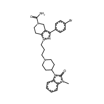 Cn1c(=O)n(C2CCN(CCCn3nc(-c4ccc(Br)cc4)c4c3CCN(C(N)=O)C4)CC2)c2ccccc21